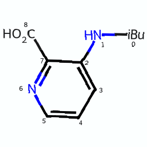 CCC(C)Nc1cccnc1C(=O)O